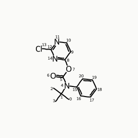 CC(C)(C)N(C(=O)Oc1ccnc(Cl)n1)c1ccccc1